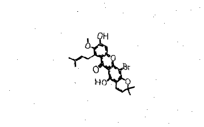 COc1c(O)cc2oc3c(Br)c4c(c(O)c3c(=O)c2c1CC=C(C)C)C=CC(C)(C)O4